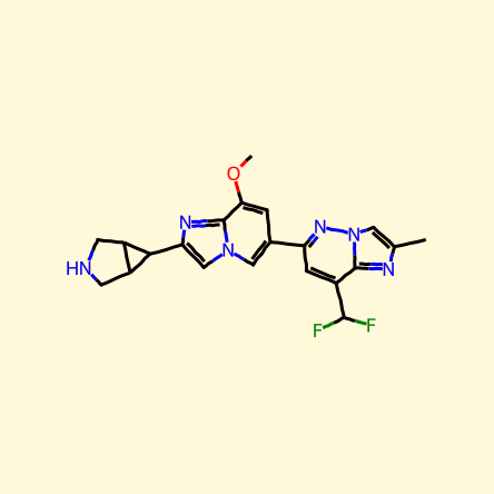 COc1cc(-c2cc(C(F)F)c3nc(C)cn3n2)cn2cc(C3C4CNCC43)nc12